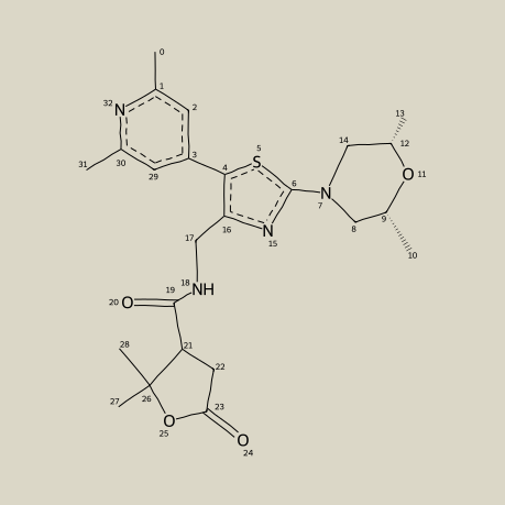 Cc1cc(-c2sc(N3C[C@@H](C)O[C@@H](C)C3)nc2CNC(=O)C2CC(=O)OC2(C)C)cc(C)n1